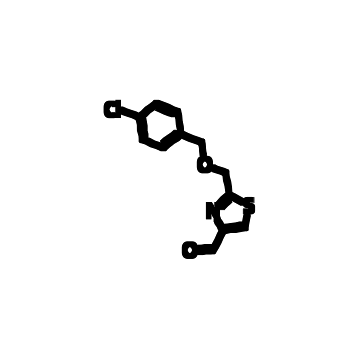 O=Cc1csc(COCc2ccc(Cl)cc2)n1